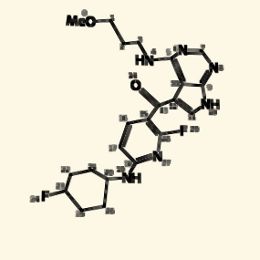 COCCCNc1ncnc2[nH]cc(C(=O)c3ccc(NC4CCC(F)CC4)nc3F)c12